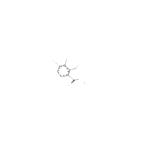 CC(C)(C)OC(=O)c1ccc(F)c(I)c1F